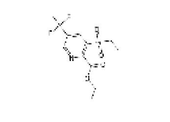 CCOC(=O)c1ncc(C(C)(F)F)cc1S(=O)(=O)CC